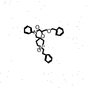 O=C1C(COCc2ccccc2)OC2(CC[N+]([O-])(CCc3ccccc3)CC2)CN1c1ccccc1